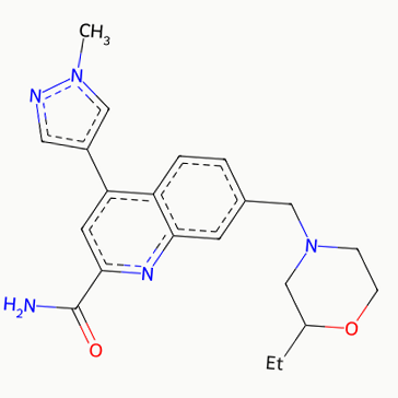 CCC1CN(Cc2ccc3c(-c4cnn(C)c4)cc(C(N)=O)nc3c2)CCO1